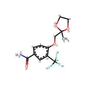 CC1(COc2ccc(C(N)=O)cc2C(F)(F)F)OCCO1